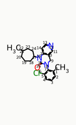 Cc1cccc(Cl)c1N1Cc2cnccc2N(C2CCCC(C)CC2)C1=O